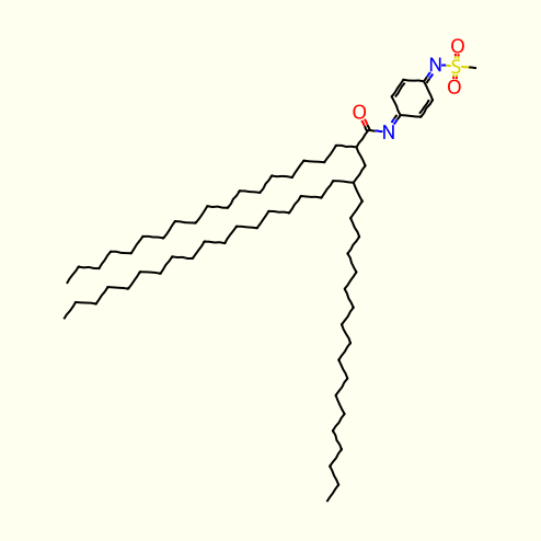 CCCCCCCCCCCCCCCCCCC(CCCCCCCCCCCCCCCCCC)CC(CCCCCCCCCCCCCCCCCC)C(=O)N=C1C=CC(=NS(C)(=O)=O)C=C1